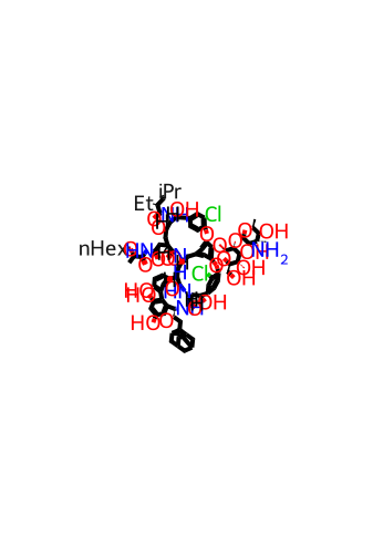 CCCCCCOC(C)C(=O)NC(=O)C[C@@H]1CC(=O)[C@H](NC(=O)[C@H](CC)CC(C)C)[C@H](O)c2ccc(c(Cl)c2)Oc2cc3cc(c2O[C@@H]2O[C@H](CO)[C@@H](O)[C@H](O)[C@H]2O[C@H]2C[C@](C)(N)[C@H](O)[C@H](C)O2)Oc2ccc(cc2Cl)[C@@H](O)[C@@H]2NC(=O)[C@H](CC(=O)[C@@H]3NC1=O)c1ccc(O)c(c1)-c1c(O)cc(O)cc1[C@@H](C(=O)CC1C3CC4CC(C3)CC1C4)NC2=O